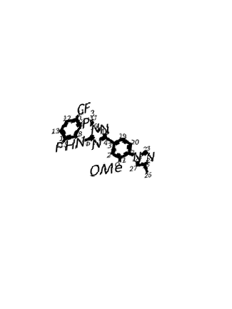 COc1cc(-c2nc(Nc3cc(C(F)(F)F)ccc3F)n(C(C)C)n2)ccc1-n1cnc(C)c1